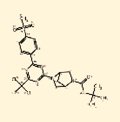 CC(C)(C)OC(=O)N1CC2CC1CN2c1nc(-c2ccc(S(C)(=O)=O)cc2)nc(C(Cl)(Cl)Cl)n1